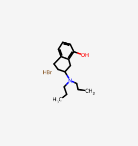 Br.CCCN(CCC)C1CCc2cccc(O)c2C1